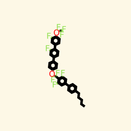 CCCCCc1ccc(-c2cc(F)c(C(F)(F)Oc3ccc(-c4ccc(-c5ccc(OC(F)(F)F)c(F)c5)c(F)c4)cc3)c(F)c2)cc1